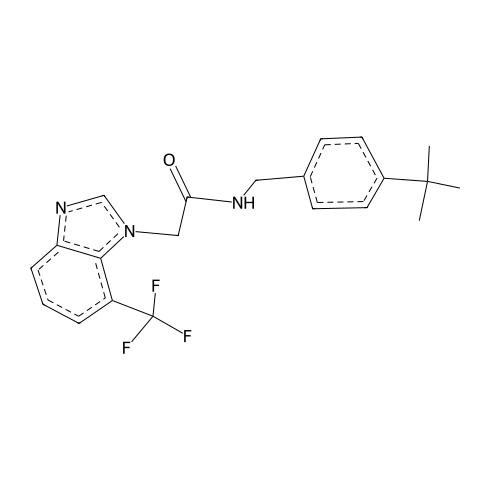 CC(C)(C)c1ccc(CNC(=O)Cn2cnc3cccc(C(F)(F)F)c32)cc1